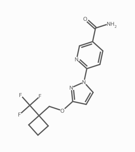 NC(=O)c1ccc(-n2ccc(OCC3(C(F)(F)F)CCC3)n2)nc1